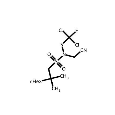 CCCCCCC(C)(C)CS(=O)(=O)N(CC#N)SC(F)(Cl)Cl